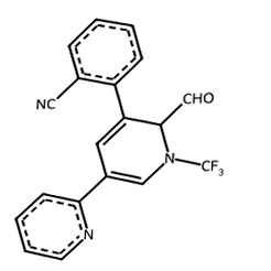 N#Cc1ccccc1C1=CC(c2ccccn2)=CN(C(F)(F)F)C1C=O